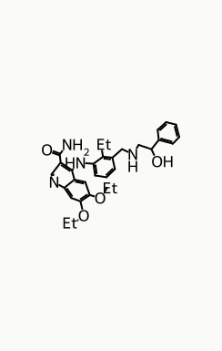 CCOc1cc2ncc(C(N)=O)c(Nc3cccc(CNCC(O)c4ccccc4)c3CC)c2cc1OCC